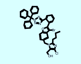 CCCCc1nc(Cl)c(CO)n1Cc1ccc2oc(-c3ccccc3-c3nnn(C(c4ccccc4)(c4ccccc4)c4ccccc4)n3)c(Br)c2c1